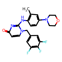 Cc1cc(N2CCOCC2)ccc1Nc1nc(=O)ccn1Cc1cc(F)c(F)c(F)c1